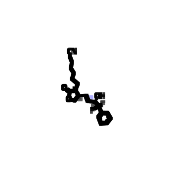 N#CCCCCCCN1C(=O)OC[C@@H]1/C=C/[C@H](O)C(F)(F)c1ccccc1